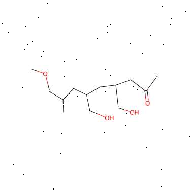 COCC(C)CC(CO)CC(CO)CC(C)=O